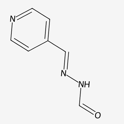 O=CNN=Cc1ccncc1